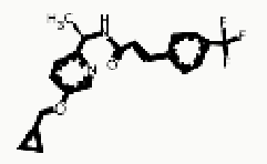 C[C@@H](NC(=O)C=Cc1ccc(C(F)(F)F)cc1)c1ccc(OCC2CC2)cn1